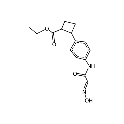 CCOC(=O)C1CCC1c1ccc(NC(=O)/C=N/O)cc1